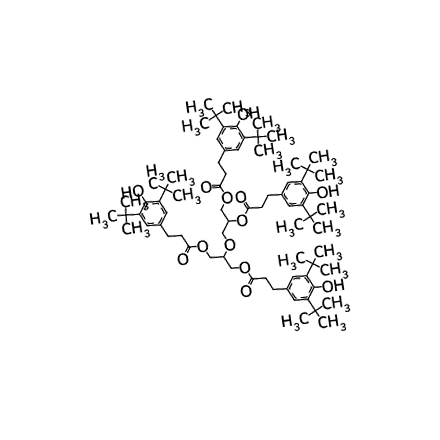 CC(C)(C)c1cc(CCC(=O)OCC(COC(=O)CCc2cc(C(C)(C)C)c(O)c(C(C)(C)C)c2)OCC(COC(=O)CCc2cc(C(C)(C)C)c(O)c(C(C)(C)C)c2)OC(=O)CCc2cc(C(C)(C)C)c(O)c(C(C)(C)C)c2)cc(C(C)(C)C)c1O